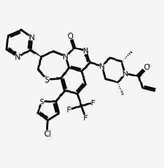 C=CC(=O)N1[C@H](C)CN(c2nc(=O)n3c4c(c(-c5cc(Cl)cs5)c(C(F)(F)F)cc24)SC[C@@H](c2ncccn2)C3)C[C@@H]1C